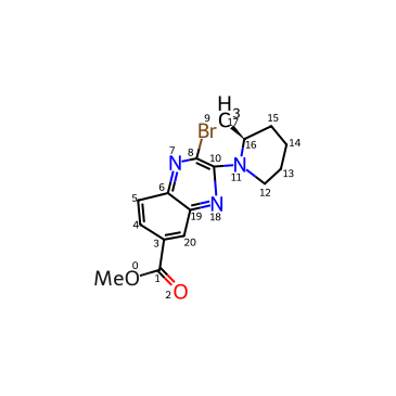 COC(=O)c1ccc2nc(Br)c(N3CCCC[C@@H]3C)nc2c1